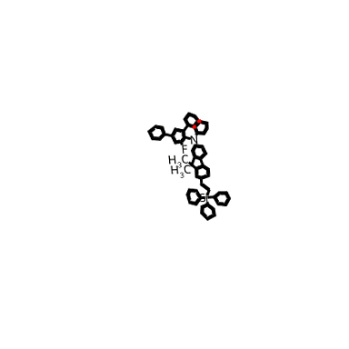 CC1(C)c2cc(/C=C/[Si](c3ccccc3)(c3ccccc3)c3ccccc3)ccc2-c2ccc(N(c3ccccc3)c3c(F)cc(-c4ccccc4)cc3-c3ccccc3)cc21